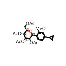 COc1cc(C2C=C2)ccc1[C@@H]1O[C@H](COC(C)=O)[C@@H](OC(C)=O)[C@H](OC(C)=O)[C@H]1OC(C)=O